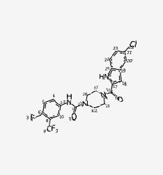 O=C(Nc1ccc(F)c(C(F)(F)F)c1)N1CCN(C(=O)c2cc3cc(Cl)ccc3[nH]2)CC1